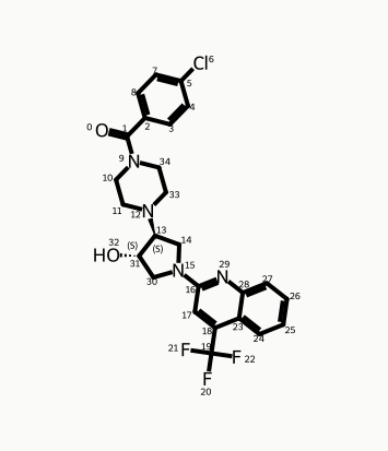 O=C(c1ccc(Cl)cc1)N1CCN([C@H]2CN(c3cc(C(F)(F)F)c4ccccc4n3)C[C@@H]2O)CC1